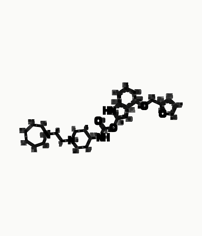 O=C(NC1CCN(CCN2CCCCCC2)CC1)Oc1cc2c(OCc3ccco3)cccc2[nH]1